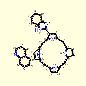 C1=Cc2cc3cc(-c4nc5ccccc5[nH]4)c(cc4nc(cc5ccc(cc1n2)[nH]5)C=C4)[nH]3.c1ccc2ncccc2c1